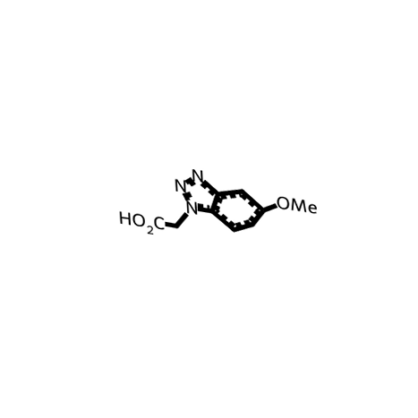 COc1ccc2c(c1)nnn2CC(=O)O